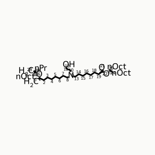 C=C(CCCCCCCN(CCO)CCCCCCCC(=O)OC(CCCCCCCC)CCCCCCCC)OC(C)(CCC)CCCCCCCC